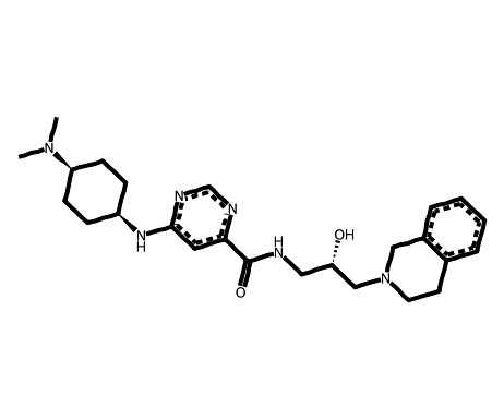 CN(C)[C@H]1CC[C@@H](Nc2cc(C(=O)NC[C@H](O)CN3CCc4ccccc4C3)ncn2)CC1